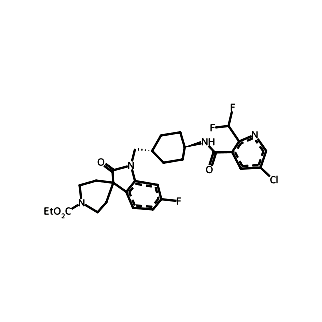 CCOC(=O)N1CCC2(CC1)C(=O)N(C[C@H]1CC[C@H](NC(=O)c3cc(Cl)cnc3C(F)F)CC1)c1cc(F)ccc12